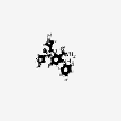 Cn1cc(S(=O)(=O)C(Oc2cc(F)cc(Nc3ccc(I)cc3F)c2C(N)=O)C2CNC2)cn1